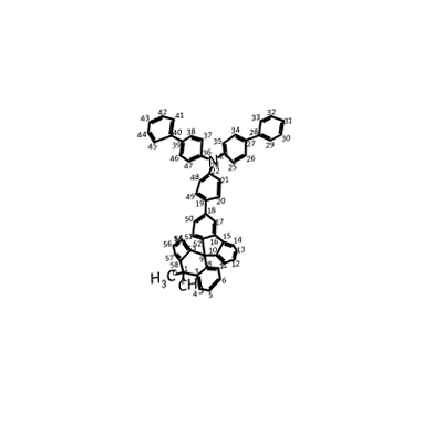 CC1(C)c2ccccc2C2(c3ccccc3-c3cc(-c4ccc(N(c5ccc(-c6ccccc6)cc5)c5ccc(-c6ccccc6)cc5)cc4)ccc32)c2ccccc21